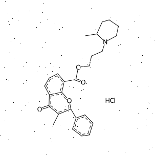 Cc1c(-c2ccccc2)oc2c(C(=O)OCCCN3CCCCC3C)cccc2c1=O.Cl